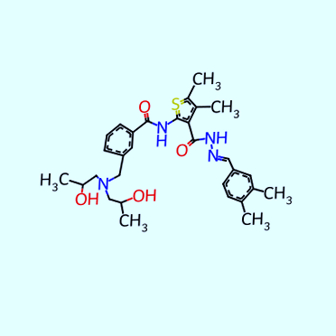 Cc1ccc(/C=N/NC(=O)c2c(NC(=O)c3cccc(CN(CC(C)O)CC(C)O)c3)sc(C)c2C)cc1C